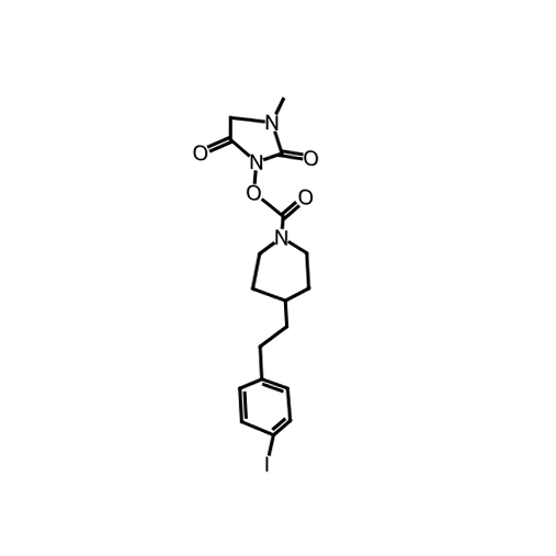 CN1CC(=O)N(OC(=O)N2CCC(CCc3ccc(I)cc3)CC2)C1=O